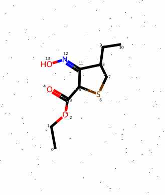 CCOC(=O)C1SCC(CC)C1=NO